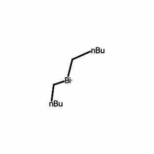 CCCC[CH2][Bi][CH2]CCCC